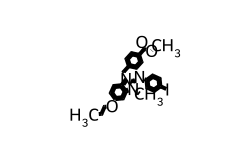 CCCOc1ccc2c(c1)n(C)/c(=N\c1ccc(I)cc1)n2Cc1ccc(C(=O)OC)cc1